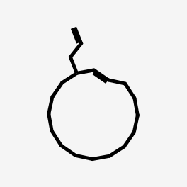 C=CCC1/C=C/CCCCCCCCCCCCC1